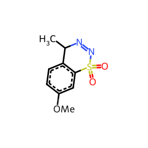 COc1ccc2c(c1)S(=O)(=O)N=NC2C